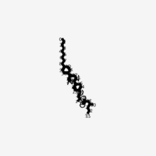 CCCCCCCCCc1ccc(-c2cnc(-c3ccc(OCC(C)OC(=O)CC(C)CCC)cc3)nc2)cc1